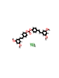 COc1cc(C=Cc2ccc(OC(=O)Oc3ccc(C=Cc4cc(OC)cc(OC)c4)cc3)cc2)cc(OC)c1.Cl.Cl